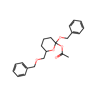 CC(=O)OC1(OCc2ccccc2)CCCC(COCc2ccccc2)O1